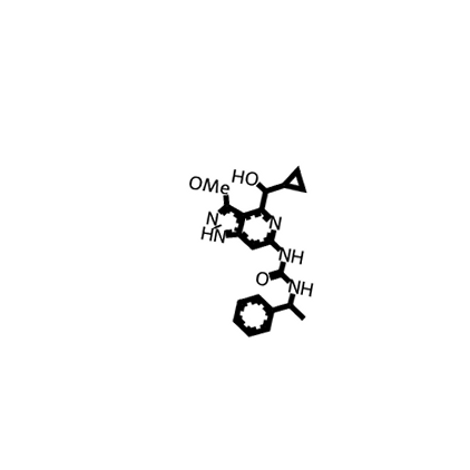 COc1n[nH]c2cc(NC(=O)NC(C)c3ccccc3)nc(C(O)C3CC3)c12